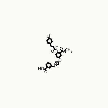 COC(=O)c1cc(OC2CN(Cc3cccc(C(=O)O)c3)C2)ccc1NC(=O)CCc1ccc(Cl)cc1